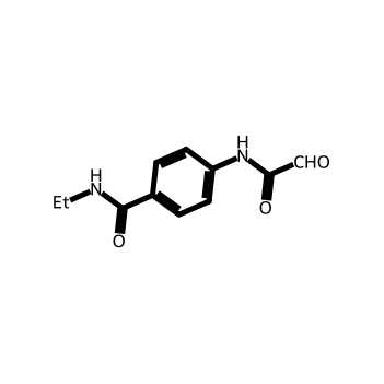 CCNC(=O)c1ccc(NC(=O)C=O)cc1